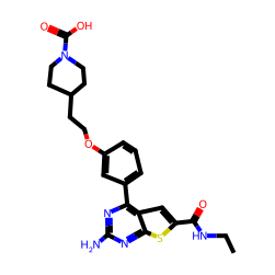 CCNC(=O)c1cc2c(-c3cccc(OCCC4CCN(C(=O)O)CC4)c3)nc(N)nc2s1